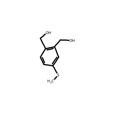 CSc1ccc(CO)c(CO)c1